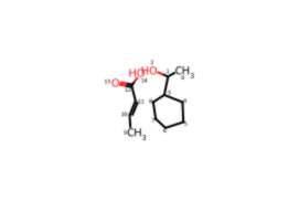 CC(O)C1CCCCC1.CC=CC(=O)O